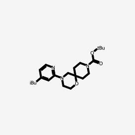 CCC(C)c1ccnc(N2CCOC3(CCN(C(=O)OC(C)(C)C)CC3)C2)c1